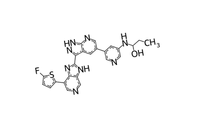 CCC(O)Nc1cncc(-c2cnc3[nH]nc(-c4nc5c(-c6ccc(F)s6)cncc5[nH]4)c3c2)c1